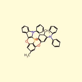 Cc1cc2c3c(c1)Oc1c(n(-c4ccccc4)c4ccccc14)P3(=O)C1=C(C=C(N(c3ccccc3)c3ccccc3)C(C)C1)O2